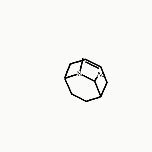 CC(=O)C1C2C/C=C\CC(CC2)N1C